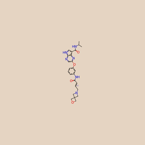 CC(C)NC(=O)c1c[nH]c2ncc(Oc3cccc(NC(=O)/C=C/CN4CC5(COC5)C4)c3)nc12